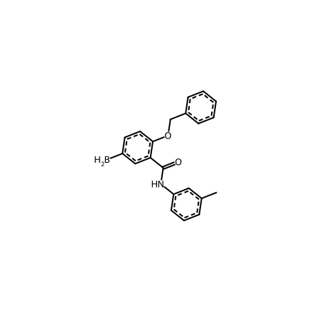 Bc1ccc(OCc2ccccc2)c(C(=O)Nc2cccc(C)c2)c1